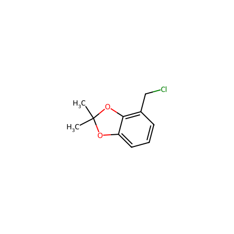 CC1(C)Oc2cccc(CCl)c2O1